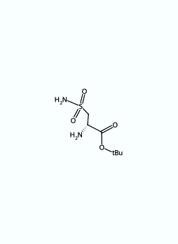 CC(C)(C)OC(=O)[C@H](N)CS(N)(=O)=O